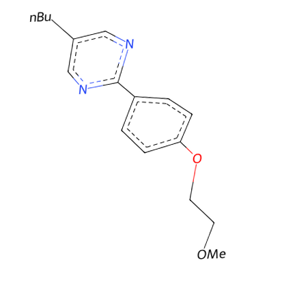 CCCCc1cnc(-c2ccc(OCCOC)cc2)nc1